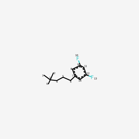 CC(C)(C)CCCc1cc(F)cc(F)c1